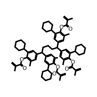 C=C(C)C(=O)Oc1c(C)cc(C(CCCC(c2cc(C)c(OC(=O)C(=C)C)c(C3CCCCC3)c2)c2cc(C)c(OC(=O)C(=C)C)c(C3CCCCC3)c2)c2cc(C)c(OC(=O)C(=C)C)c(C3CCCCC3)c2)cc1C1CCCCC1